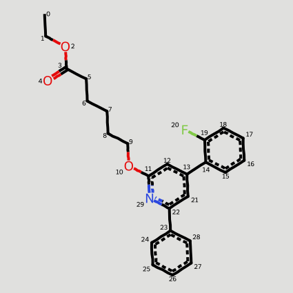 CCOC(=O)CCCCCOc1cc(-c2ccccc2F)cc(-c2ccccc2)n1